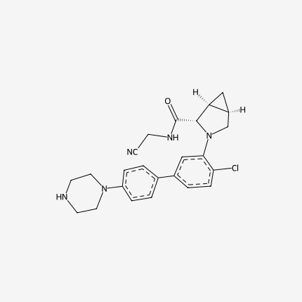 N#CCNC(=O)[C@@H]1[C@H]2C[C@H]2CN1c1cc(-c2ccc(N3CCNCC3)cc2)ccc1Cl